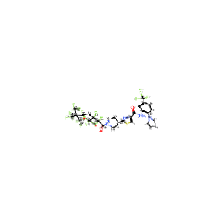 O=C(Nc1cc(C(F)(F)F)ccc1N1CCCC1)c1csc(C2CCN(C(=O)C(F)(F)C(F)(CC(F)(F)C(C(F)(F)F)(C(F)(F)F)C(F)(F)F)C(F)(F)F)CC2)n1